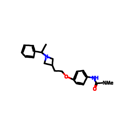 CNC(=O)Nc1ccc(OCCC2CN(C(C)c3ccccc3)C2)cc1